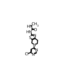 CNC(=O)Nc1nc2c(s1)CN(c1cc(Cl)ncn1)CC2